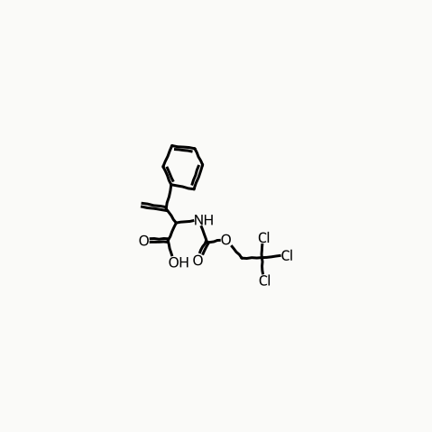 C=C(c1ccccc1)C(NC(=O)OCC(Cl)(Cl)Cl)C(=O)O